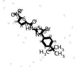 CC(C)(C)c1ccc(-c2nc(NC(=O)c3ccc([N+](=O)[O-])s3)sc2Br)cc1